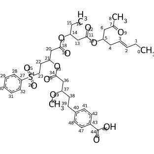 CCC=CCC(CC(C)=O)OC(=O)CC(CC)OC(=O)CC(CCS(=O)(=O)c1ccccc1)OC(=O)CC(CCc1ccc(C(=O)O)cc1)OC